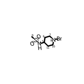 CS(=O)(=O)NC1CCN(Br)CC1